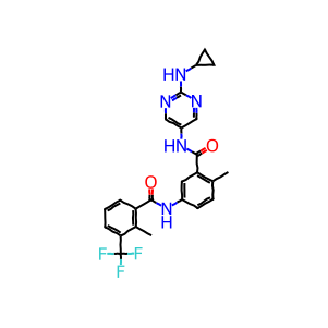 Cc1ccc(NC(=O)c2cccc(C(F)(F)F)c2C)cc1C(=O)Nc1cnc(NC2CC2)nc1